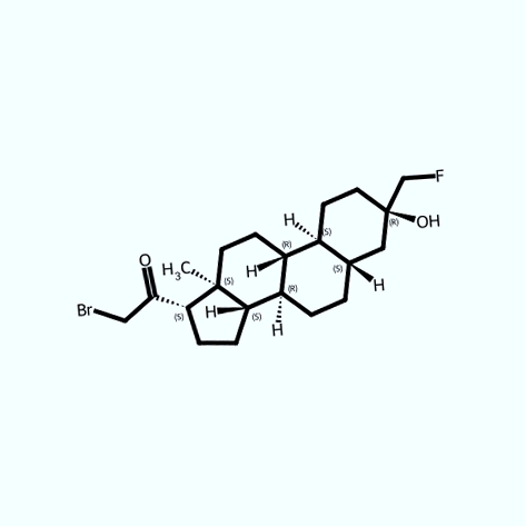 C[C@]12CC[C@H]3[C@@H](CC[C@H]4C[C@@](O)(CF)CC[C@@H]43)[C@@H]1CC[C@@H]2C(=O)CBr